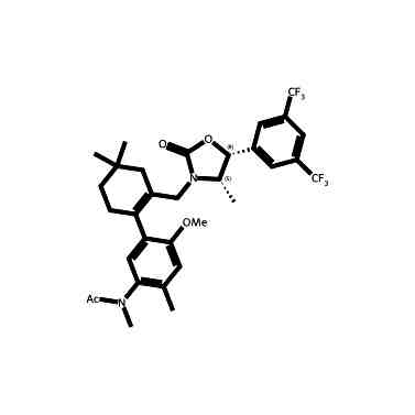 COc1cc(C)c(N(C)C(C)=O)cc1C1=C(CN2C(=O)O[C@H](c3cc(C(F)(F)F)cc(C(F)(F)F)c3)[C@@H]2C)CC(C)(C)CC1